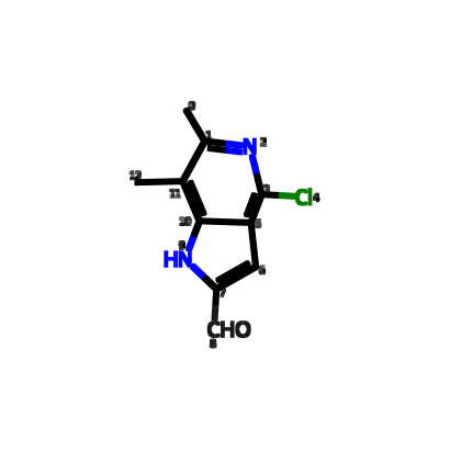 Cc1nc(Cl)c2cc(C=O)[nH]c2c1C